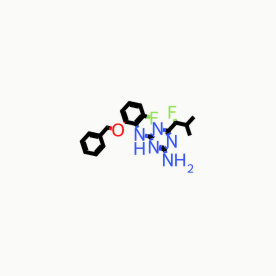 CC(C)C(F)c1nc(N)nc(Nc2c(F)cccc2OCc2ccccc2)n1